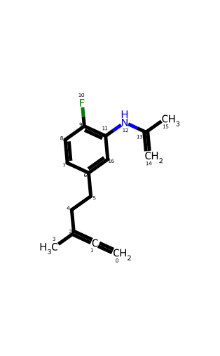 C=C=C(C)CCc1ccc(F)c(NC(=C)C)c1